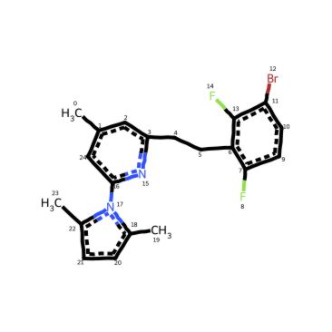 Cc1cc(CCc2c(F)ccc(Br)c2F)nc(-n2c(C)ccc2C)c1